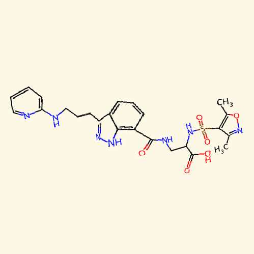 Cc1noc(C)c1S(=O)(=O)NC(CNC(=O)c1cccc2c(CCCNc3ccccn3)n[nH]c12)C(=O)O